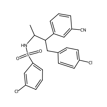 CC(NS(=O)(=O)c1cccc(Cl)c1)C(Cc1ccc(Cl)cc1)c1cccc(C#N)c1